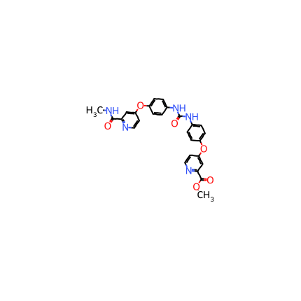 CNC(=O)c1cc(Oc2ccc(NC(=O)Nc3ccc(Oc4ccnc(C(=O)OC)c4)cc3)cc2)ccn1